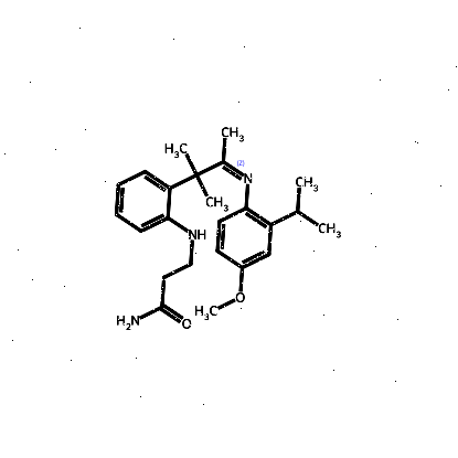 COc1ccc(/N=C(/C)C(C)(C)c2ccccc2NCCC(N)=O)c(C(C)C)c1